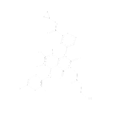 CCOC(=O)Cn1c(=O)c2c(Nc3ccc(I)cc3F)n(C)c(=O)c(C)c2n(-c2cccc(C(=O)NC3CC3)c2)c1=O